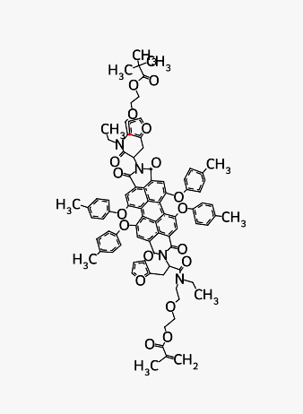 C=C(C)C(=O)OCCOCCN(CC)C(=O)C(Cc1ccco1)N1C(=O)c2cc(Oc3ccc(C)cc3)c3c4c(Oc5ccc(C)cc5)cc5c6c(cc(Oc7ccc(C)cc7)c(c7c(Oc8ccc(C)cc8)cc(c2c37)C1=O)c64)C(=O)N(C(Cc1ccco1)C(=O)N(CC)CCOCCOC(=O)C(C)(C)C)C5=O